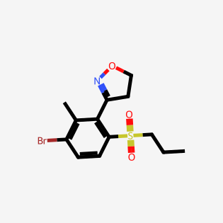 CCCS(=O)(=O)c1ccc(Br)c(C)c1C1=NOCC1